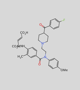 COc1ccc(N(CCN2CCC(C(=O)c3ccc(F)cc3)CC2)C(=O)c2ccc(NC(C)=O)c(C)c2)cc1.O=C(O)C=CC(=O)O